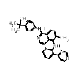 Cc1ccc2c(Nc3ccc(C(C)(C)C)cc3)nccc2c1Nc1ncccc1-c1ccncn1